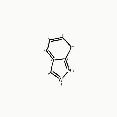 [C]1=NN=C2CC=CC=C12